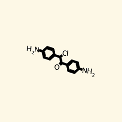 Nc1ccc(C(=O)C(Cl)c2ccc(N)cc2)cc1